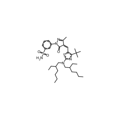 CCCCC(CC)CN(CC(CC)CCCC)c1nc(C(C)(C)C)c(/C=C2\C(=O)N(c3cccc(S(N)(=O)=O)c3)N=C2C)s1